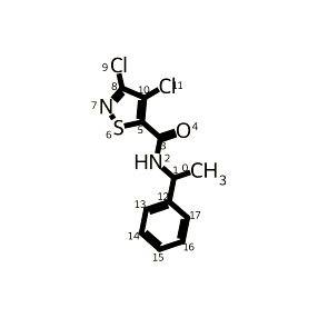 CC(NC(=O)c1snc(Cl)c1Cl)c1ccccc1